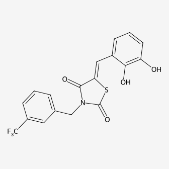 O=C1SC(=Cc2cccc(O)c2O)C(=O)N1Cc1cccc(C(F)(F)F)c1